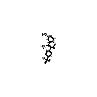 CC1=C(c2ccc(C(F)(F)F)cc2)COc2ccc(O)cc21